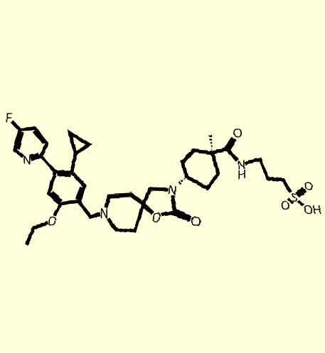 CCOc1cc(-c2ccc(F)cn2)c(C2CC2)cc1CN1CCC2(CC1)CN([C@H]1CC[C@](C)(C(=O)NCCCS(=O)(=O)O)CC1)C(=O)O2